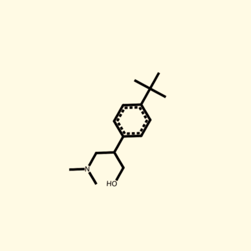 CN(C)CC(CO)c1ccc(C(C)(C)C)cc1